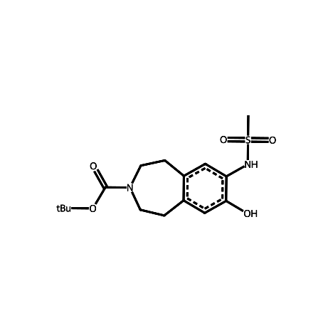 CC(C)(C)OC(=O)N1CCc2cc(O)c(NS(C)(=O)=O)cc2CC1